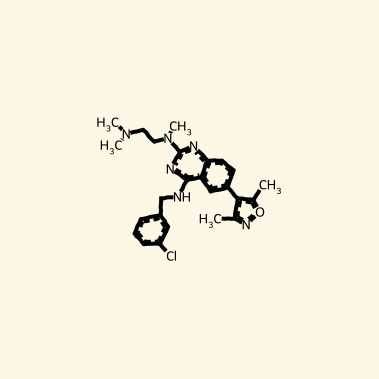 Cc1noc(C)c1-c1ccc2nc(N(C)CCN(C)C)nc(NCc3cccc(Cl)c3)c2c1